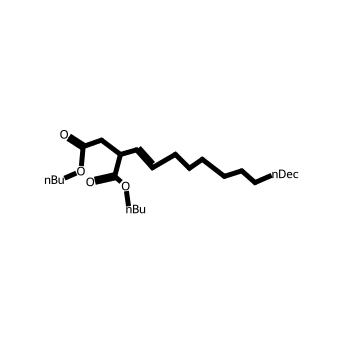 CCCCCCCCCCCCCCCCC=CC(CC(=O)OCCCC)C(=O)OCCCC